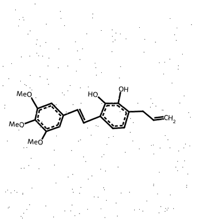 C=CCc1ccc(C=Cc2cc(OC)c(OC)c(OC)c2)c(O)c1O